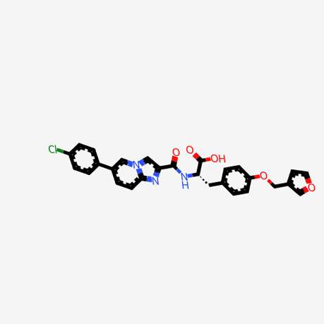 O=C(N[C@@H](Cc1ccc(OCc2ccoc2)cc1)C(=O)O)c1cn2cc(-c3ccc(Cl)cc3)ccc2n1